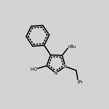 CCCCc1c(-c2ccccc2)c(O)nn1CC(C)C